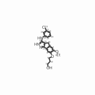 CCOc1cc2c(cc1OCCCO)-c1n[nH]c(Nc3cccc(Cl)c3)c1C2